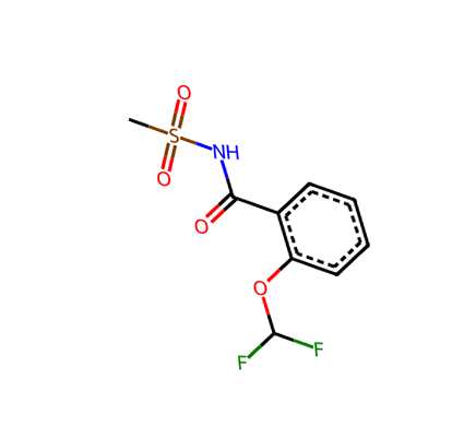 CS(=O)(=O)NC(=O)c1ccccc1OC(F)F